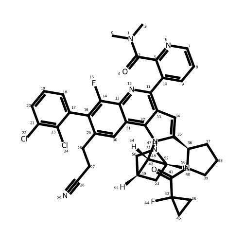 CN(C)C(=O)c1ncccc1-c1nc2c(F)c(-c3cccc(Cl)c3Cl)c(CCC#N)cc2c2c1cc([C@H]1CCCN1C(=O)C1(F)CC1)n2[C@H]1[C@H]2CN[C@@H]1C2